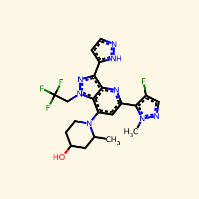 CC1CC(O)CCN1c1cc(-c2c(F)cnn2C)nc2c(-c3ccn[nH]3)nn(CC(F)(F)F)c12